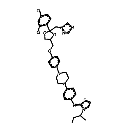 CCC(C)n1ccs/c1=N\c1ccc(N2CCN(c3ccc(OCC4COC(Cn5cncn5)(c5ccc(Cl)cc5Cl)O4)cc3)CC2)cc1